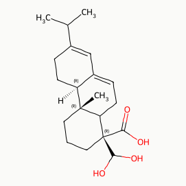 CC(C)C1=CC2=CCC3[C@@](C(=O)O)(C(O)O)CCC[C@]3(C)[C@H]2CC1